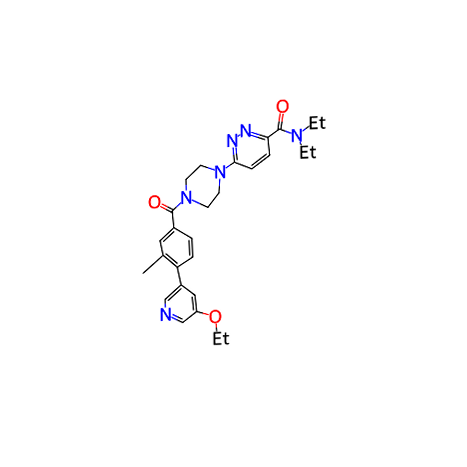 CCOc1cncc(-c2ccc(C(=O)N3CCN(c4ccc(C(=O)N(CC)CC)nn4)CC3)cc2C)c1